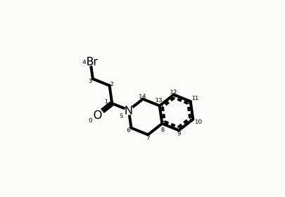 O=C(CCBr)N1CCc2ccccc2C1